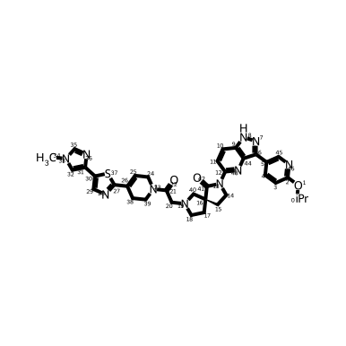 CC(C)Oc1ccc(-c2n[nH]c3ccc(N4CC[C@]5(CCN(CC(=O)N6CC=C(c7ncc(-c8cn(C)cn8)s7)CC6)C5)C4=O)nc23)cn1